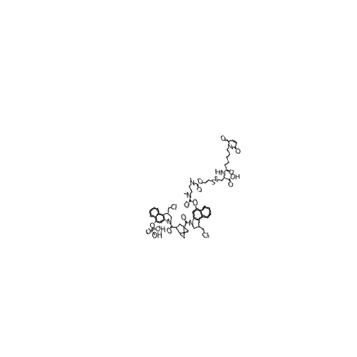 CN(CCN(C)C(=O)Oc1cc2c(c3ccccc13)C(CCl)CN2C(=O)C12CC(C(=O)N3CC(CCl)c4c3cc(OP(=O)(O)O)c3ccccc43)C3CC31C2)C(=O)OCCSSCC(NC(=O)CCCCCN1C(=O)C=CC1=O)C(=O)O